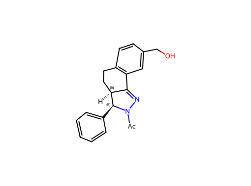 CC(=O)N1N=C2c3cc(CO)ccc3CC[C@@H]2[C@@H]1c1ccccc1